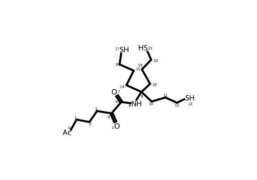 CC(=O)CCCC(=O)C(=O)NC(CCCS)(CCCS)CCCS